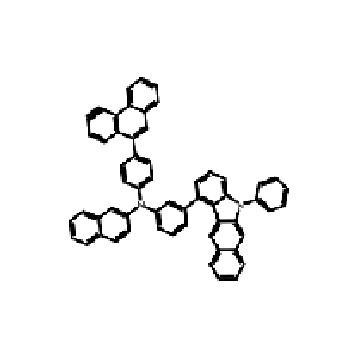 c1ccc2c(-c3ccc(N(c4cccc(-c5cccc6c5c5cc7ccccc7cc5n6-c5ccccc5)c4)c4ccc5ccccc5c4)cc3)cc3ccccc3c2c#1